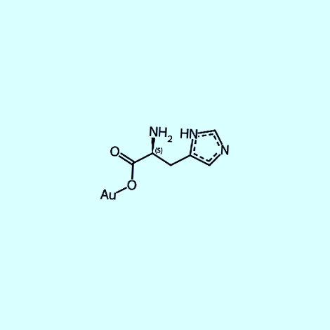 N[C@@H](Cc1cnc[nH]1)C(=O)[O][Au]